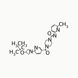 CCC(C)(C)OC1CN(c2ccc(C(=O)N3CCN(c4nc5nc(C)ccc5o4)CC3)cn2)C1